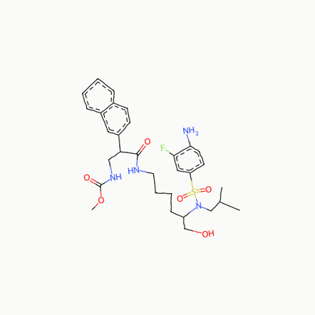 COC(=O)NCC(C(=O)NCCCCC(CO)N(CC(C)C)S(=O)(=O)c1ccc(N)c(F)c1)c1ccc2ccccc2c1